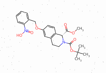 COC(=O)[C@H]1c2ccc(OCc3ccccc3[N+](=O)O)cc2CCN1C(=O)OC(C)(C)C